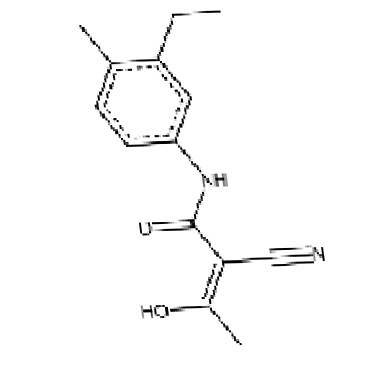 CCc1cc(NC(=O)/C(C#N)=C(/C)O)ccc1C